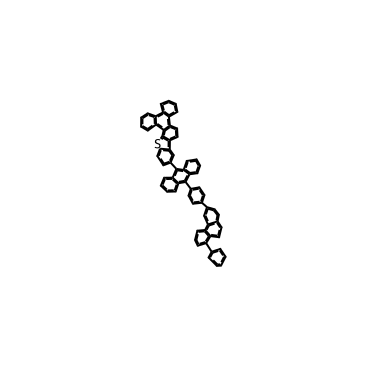 c1ccc(-c2cccc3c2ccc2ccc(-c4ccc(-c5c6ccccc6c(-c6ccc7sc8c(ccc9c%10ccccc%10c%10ccccc%10c98)c7c6)c6ccccc56)cc4)cc23)cc1